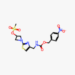 CS(=O)(=O)OC1CN(c2nc(CNC(=O)OCc3ccc([N+](=O)[O-])cc3)cs2)C1